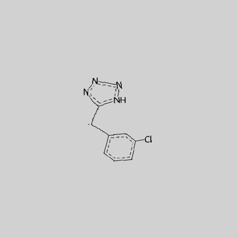 Clc1cccc([CH]c2nnn[nH]2)c1